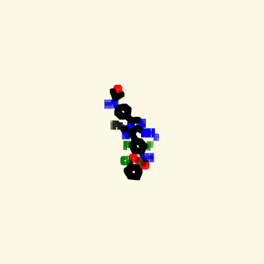 CC(C)c1nc(-c2cc(F)c(NS(=O)(=O)c3ccccc3Cl)cc2F)c2c(N)ncc(-c3ccc(NC4COC4)cc3)n12